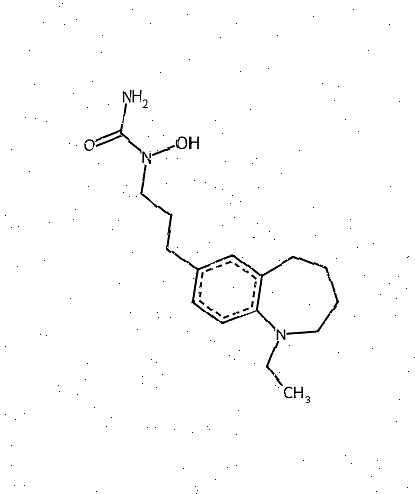 CCN1CCCCc2cc(CCCN(O)C(N)=O)ccc21